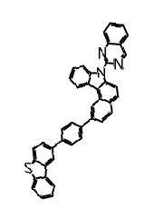 c1ccc2nc(-n3c4ccccc4c4c5cc(-c6ccc(-c7ccc8sc9ccccc9c8c7)cc6)ccc5ccc43)ncc2c1